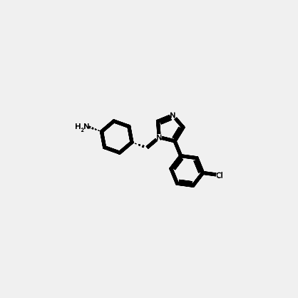 N[C@H]1CC[C@@H](Cn2cncc2-c2cccc(Cl)c2)CC1